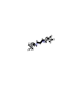 C[Si](C)(C)O/N=C/C/C=N/O[Si](C)(C)C